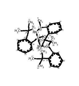 C[SiH](N[Si](C)(N[SiH](C)c1ccccc1C(C)(C)C)c1ccccc1C(C)(C)C)c1ccccc1C(C)(C)C